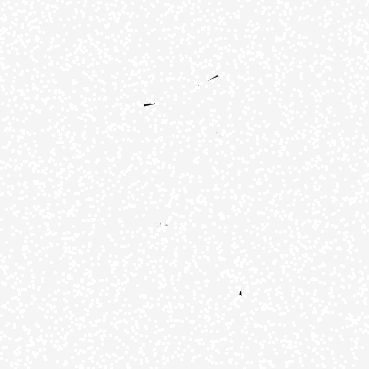 COc1cc(C(O)N2CC[C@]3(c4cccc(Cl)c4)OCO[C@@H]3C2)ccc1O[C@@H](C)C(F)(F)F